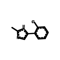 Cc1ncc(-c2ccccc2Cl)[nH]1